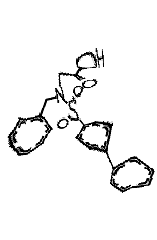 O=C(O)CN(Cc1ccccc1)S(=O)(=O)c1ccc(-c2ccccc2)cc1